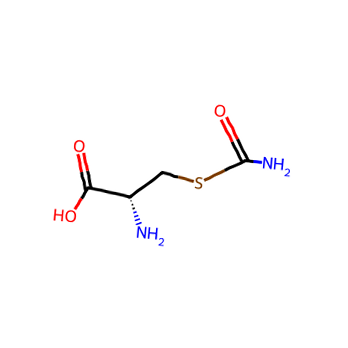 NC(=O)SC[C@H](N)C(=O)O